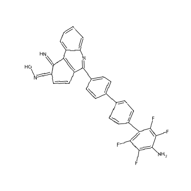 N=C1/C(=N\O)C=Cc2c(-c3ccc(-c4ccc(-c5c(F)c(F)c(N)c(F)c5F)cc4)cc3)nc3ccccc3c21